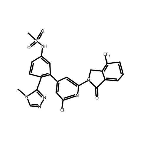 Cn1cnnc1-c1ccc(NS(C)(=O)=O)cc1-c1cc(Cl)nc(N2Cc3c(cccc3C(F)(F)F)C2=O)c1